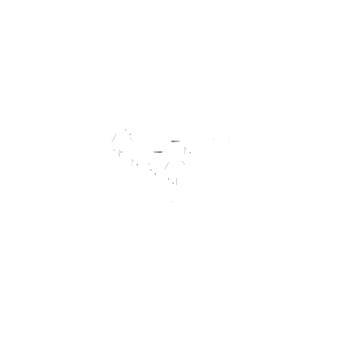 CC(C)(C)CNc1nc(Nc2cnccn2)cc2ccn(CCO)c(=O)c12